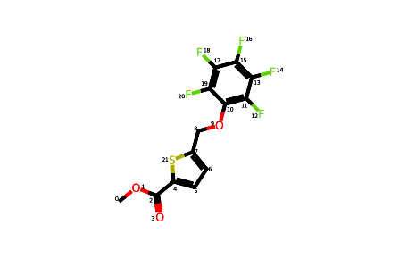 COC(=O)c1ccc(COc2c(F)c(F)c(F)c(F)c2F)s1